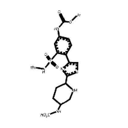 CC(C)OC(=O)Nc1ccc(-c2csc(C3CCC(NC(=O)O)CN3)n2)c(S(=O)(=O)NC(C)(C)C)c1